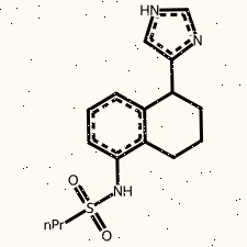 CCCS(=O)(=O)Nc1cccc2c1CCCC2c1c[nH]cn1